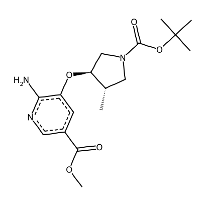 COC(=O)c1cnc(N)c(O[C@H]2CN(C(=O)OC(C)(C)C)C[C@@H]2C)c1